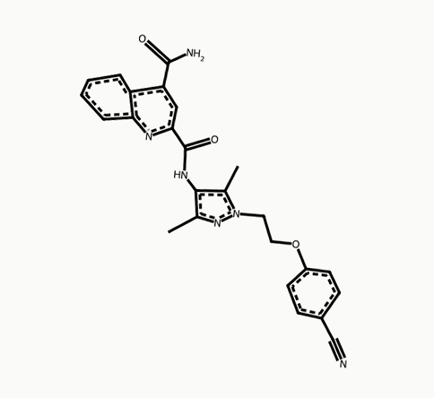 Cc1nn(CCOc2ccc(C#N)cc2)c(C)c1NC(=O)c1cc(C(N)=O)c2ccccc2n1